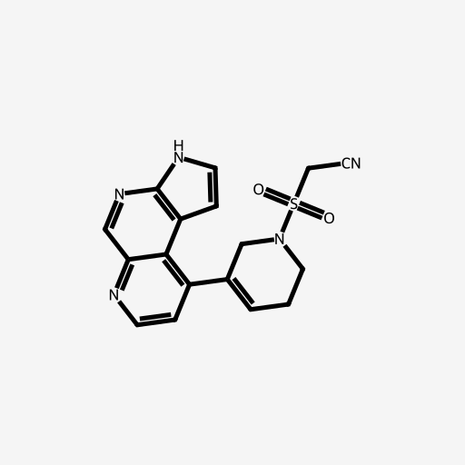 N#CCS(=O)(=O)N1CCC=C(c2ccnc3cnc4[nH]ccc4c23)C1